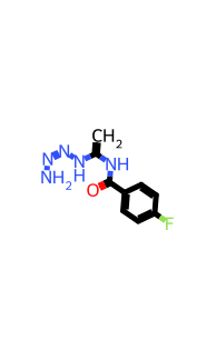 C=C(N/N=N\N)NC(=O)c1ccc(F)cc1